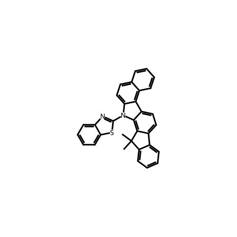 CC1(C)c2ccccc2-c2ccc3c4c5ccccc5ccc4n(-c4nc5ccccc5s4)c3c21